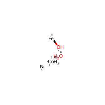 O.[AlH3].[Co].[Ni].[OH][Fe]